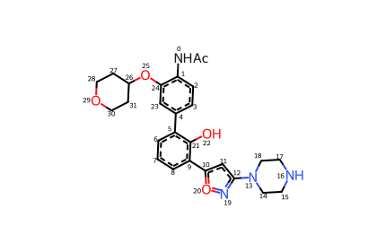 CC(=O)Nc1ccc(-c2cccc(-c3cc(N4CCNCC4)no3)c2O)cc1OC1CCOCC1